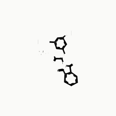 COC(=O)[C@H](Cc1cc(C(F)(F)F)cc(C(F)(F)F)c1)N1C(=O)c2ccccc2C1=O